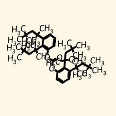 CC(C)(C)CC(C)(C)c1cccc(OC(=O)Oc2cccc(C(C)(C)CC(C)(C)C)c2C(C)(C)CC(C)(C)C)c1C(C)(C)CC(C)(C)C